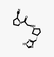 N#CC1CCCN1C(=O)CN[C@@H]1CC[C@H](Cc2nc[nH]n2)C1